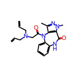 C=CCN(CC=C)CC(=O)N1c2ccccc2NC(=O)c2c1c(C)nn2C